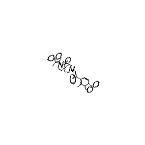 CO[C@@H](CN1CCC2(CC1)CCN(C1=C(C)C(=O)OC1)C2=O)C1=C(C)C2COC(=O)C2C=C1